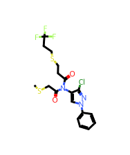 CSCC(=O)N(C(=O)CCSCCC(F)(F)F)c1cn(-c2ccccc2)nc1Cl